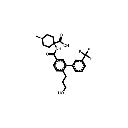 C[C@H]1CC[C@](NC(=O)c2ccc(CCCO)c(-c3cccc(C(F)(F)F)c3)c2)(C(=O)O)CC1